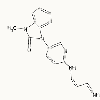 Cn1c(=O)n(-c2ccc(N/C=C\C=N)nc2)c2ccccc21